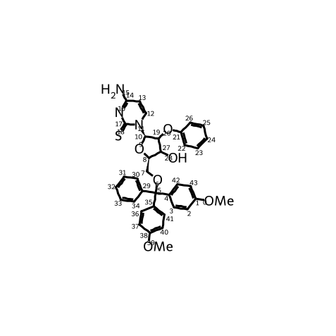 COc1ccc(C(OC[C@H]2O[C@@H](n3ccc(N)nc3=S)C(Oc3ccccc3)C2O)(c2ccccc2)c2ccc(OC)cc2)cc1